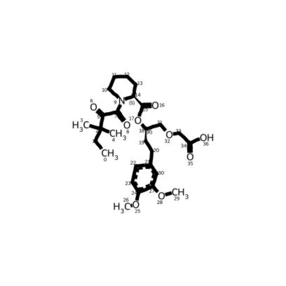 CCC(C)(C)C(=O)C(=O)N1CCCC[C@H]1C(=O)O[C@H](CCc1ccc(OC)c(OC)c1)COCC(=O)O